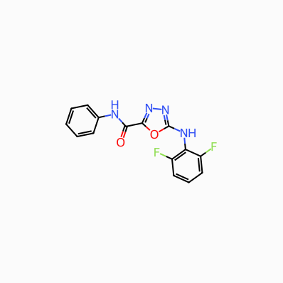 O=C(Nc1ccccc1)c1nnc(Nc2c(F)cccc2F)o1